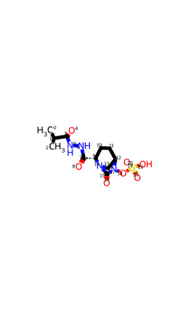 CC(C)C(=O)NNC(=O)[C@@H]1CCC2CN1C(=O)N2OS(=O)(=O)O